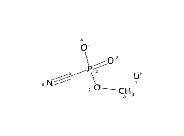 COP(=O)([O-])C#N.[Li+]